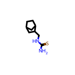 NC(=S)NCC1CC2CCC1C2